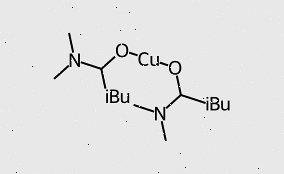 CCC(C)C([O][Cu][O]C(C(C)CC)N(C)C)N(C)C